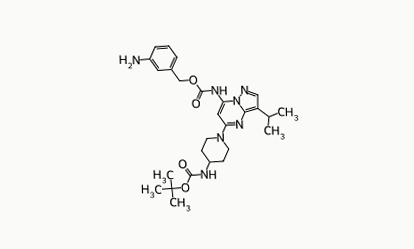 CC(C)c1cnn2c(NC(=O)OCc3cccc(N)c3)cc(N3CCC(NC(=O)OC(C)(C)C)CC3)nc12